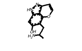 CC(N)Cc1c(O)cc2[nH]nc3c2c1OC=C3